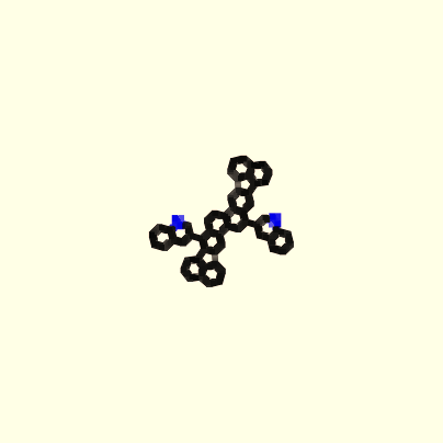 c1ccc2ncc(-c3cc4c5cc6c(c(-c7cnc8ccccc8c7)c5ccc4c4cc5c(cc34)-c3cccc4cccc-5c34)-c3cccc4cccc-6c34)cc2c1